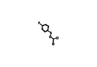 O=C(Cl)OSc1ccc(F)cc1